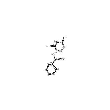 O=C(On1ncc(=O)[nH]c1=O)c1ccccc1